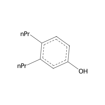 CCCc1ccc(O)cc1CCC